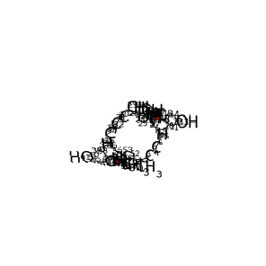 C[C@@H]1CCCCCC[C@H]2CC3C[C@H](O)CC[C@]3(C)[C@H]3CC[C@]4(C)[C@H](CC[C@H]4[C@H]23)[C@H](C)CCCCCC[C@H]2CC3C[C@H](O)CC[C@]3(C)[C@H]3CC[C@]4(C)[C@@H]1CC[C@H]4[C@H]23